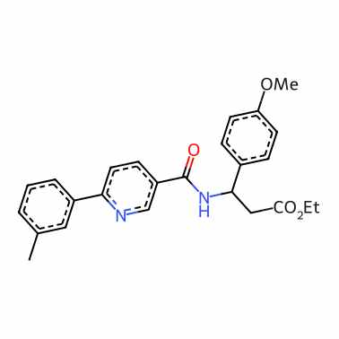 CCOC(=O)CC(NC(=O)c1ccc(-c2cccc(C)c2)nc1)c1ccc(OC)cc1